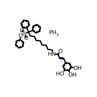 O=C(/C=C/c1cc(O)c(O)c(O)c1)NCCCCCCCCC(c1ccccc1)(c1ccccc1)S(=O)(=O)Oc1ccccc1.P